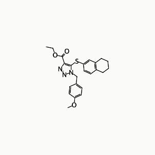 CCOC(=O)c1nnn(Cc2ccc(OC)cc2)c1Sc1ccc2c(c1)CCCC2